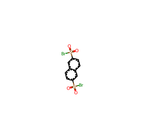 O=S(=O)(Br)c1ccc2cc(S(=O)(=O)Br)ccc2c1